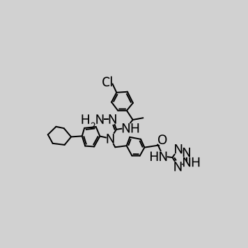 CC(N/C(=N/N)N(Cc1ccc(C(=O)Nc2nn[nH]n2)cc1)c1ccc(C2CCCCC2)cc1)c1ccc(Cl)cc1